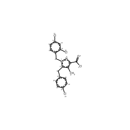 Cc1c(C(=O)Cl)nn(Cc2ccc(Cl)cc2Cl)c1Cc1ccc(Cl)cc1